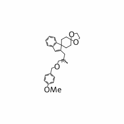 COc1ccc(COC[C@H](C)CC2=Cc3ccccc3C23CCC2(CC3)OCCO2)cc1